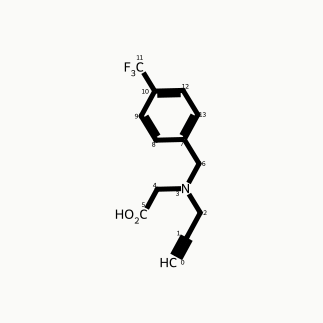 C#CCN(CC(=O)O)Cc1ccc(C(F)(F)F)cc1